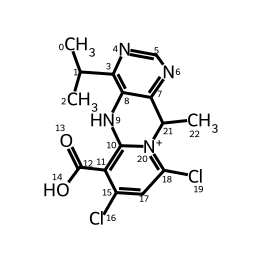 CC(C)c1ncnc2c1Nc1c(C(=O)O)c(Cl)cc(Cl)[n+]1C2C